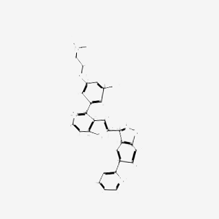 CN(C)CCNc1cc(F)cc(-c2nccc3[nH]c(-c4n[nH]c5ccc(-c6ccccn6)cc45)cc23)c1